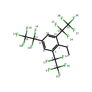 C[CH]c1c(C(F)(F)C(F)(F)F)cc(C(F)(F)C(F)(F)F)cc1C(F)(F)C(F)(F)F